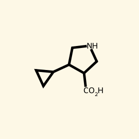 O=C(O)C1CNCC1C1CC1